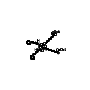 CCCCCCCCOC(=O)CCCCCCCOC(=O)C(OC(=S)NCCCCN1CCCCC1)C(OC(=S)NCCCCN1CCCCC1)C(=O)OCCCCCCCC(=O)OCCCCCCCC